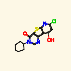 O=c1c2sc3nc(Cl)cc(O)c3c2ncn1C1CCCCC1